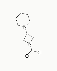 O=C(Cl)N1CC(N2CCCCC2)C1